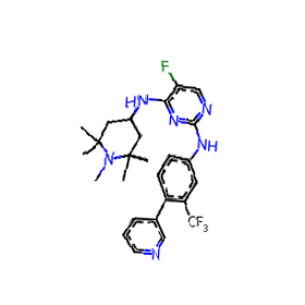 CN1C(C)(C)CC(Nc2nc(Nc3ccc(-c4cccnc4)c(C(F)(F)F)c3)ncc2F)CC1(C)C